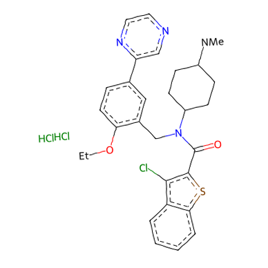 CCOc1ccc(-c2cnccn2)cc1CN(C(=O)c1sc2ccccc2c1Cl)C1CCC(NC)CC1.Cl.Cl